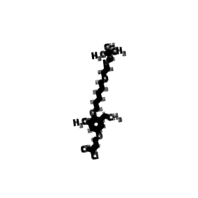 CCc1cc(OCC=C(Cl)Cl)cc(C)c1OCCCCCCOCC=NOC(C)(C)C